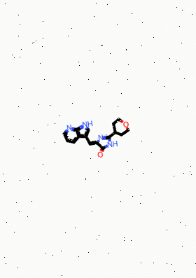 O=C1NC(C2CCOCC2)=NC1=Cc1c[nH]c2ncccc12